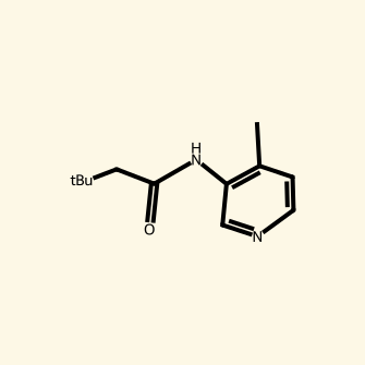 Cc1ccncc1NC(=O)CC(C)(C)C